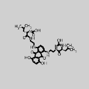 CC(C)C[C@H](NC(=O)O)C(=O)NCCNc1ccc(NCCNC(=O)[C@H](CC(C)C)NC(=O)O)c2c1C(=O)c1c(O)ccc(O)c1C2=O